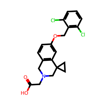 O=C(O)CN1Cc2ccc(OCc3c(Cl)cccc3Cl)cc2C2(CC2)C1